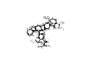 CC(C)C12CCC(C)(CC1)c1cc3c4cc5oc6ccccc6c5c5c6cc7c(cc6n(c3cc1C2=O)c45)C(=O)C1(C)CCC7(C)CC1